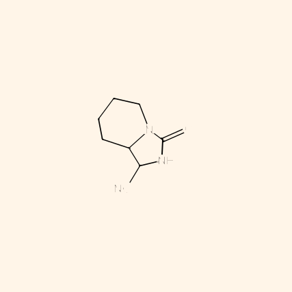 N#CC1NC(=O)N2CCCCC12